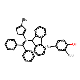 CC(C)(C)C1=CC[C]([Zr](=[C](c2ccccc2)c2ccccc2)[CH]2c3ccccc3-c3ccccc32)=C1.CC(C)(C)c1ccc(O)c(C(C)(C)C)c1